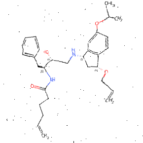 C=CCCCC(=O)N[C@@H](Cc1ccccc1)[C@H](O)CN[C@H]1C[C@@H](OCC=C)c2ccc(OC(C)C)cc21